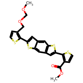 COCOCc1ccsc1-c1cc2cc3sc(-c4sccc4C(=O)OC)cc3cc2s1